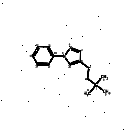 CC(C)(C)CCc1cnn(-c2ccccc2)c1